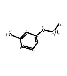 C[SiH2]Oc1cccc(O)c1